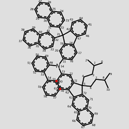 CC(C)CCC1(CCC(C)C)c2cc(N(c3ccc4c(c3)C(c3ccc5ccccc5c3)(c3ccc5ccccc5c3)c3ccccc3-4)c3ccccc3-c3ccccc3)ccc2-c2cc3ccccc3cc21